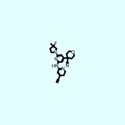 C#CC1=CC(Nc2cc(C3(C#N)CCOCC3)cc(N3CCC(C)(F)C3)n2)=NCC1